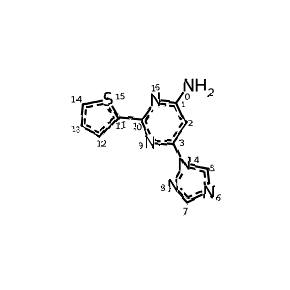 Nc1cc(-n2cncn2)nc(-c2cccs2)n1